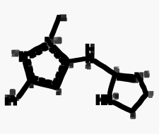 CC(C)c1cc(NC2=NCCN2)n(C)n1